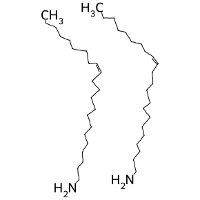 CCCCCCCC/C=C\CCCCCCCCCCCCN.CCCCCCCC/C=C\CCCCCCCCCCCCN